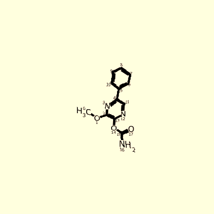 COc1nc(-c2ccccc2)cnc1OC(N)=O